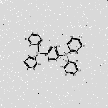 c1ccc(P(c2ccccc2)c2ccc(P(c3ccccc3)c3ccccc3)nc2)cc1